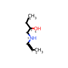 C/C=C\NCC(O)CC